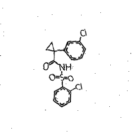 O=C(NS(=O)(=O)c1ccccc1Cl)C1(c2cccc(Cl)c2)CC1